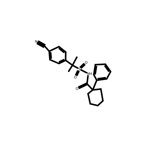 CC(C)(c1ccc(C#N)cc1)S(=O)(=O)NC(=O)C1(c2ccccc2)CCCCC1